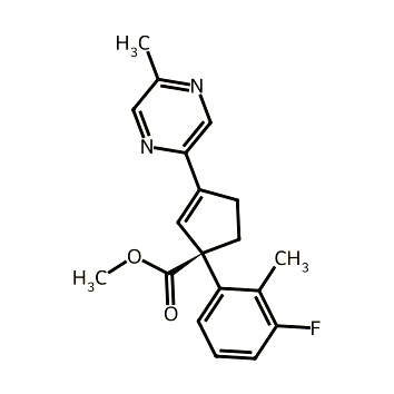 COC(=O)[C@@]1(c2cccc(F)c2C)C=C(c2cnc(C)cn2)CC1